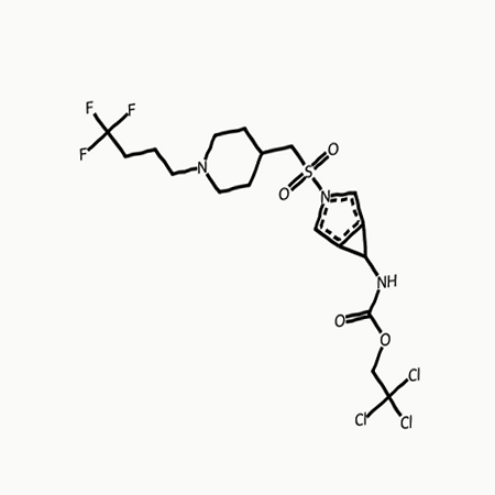 O=C(NC1c2cn(S(=O)(=O)CC3CCN(CCCC(F)(F)F)CC3)cc21)OCC(Cl)(Cl)Cl